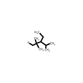 CCC(C(C)C)C(C)(C)CF